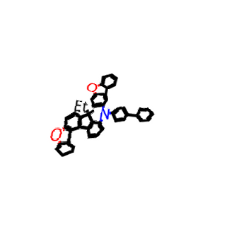 CCC1(C)c2ccc3oc4ccccc4c3c2-c2cccc(N(c3ccc(-c4ccccc4)cc3)c3ccc4oc5ccccc5c4c3)c21